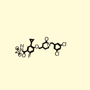 CS(=O)(=O)NC(=O)c1cc(C2CC2)c(OCC2CCN(Cc3cc(Cl)cc(Cl)c3)C(=O)C2)cc1F